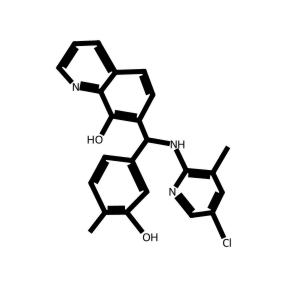 Cc1ccc(C(Nc2ncc(Cl)cc2C)c2ccc3cccnc3c2O)cc1O